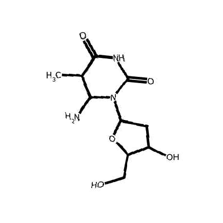 CC1C(=O)NC(=O)N(C2CC(O)C(CO)O2)C1N